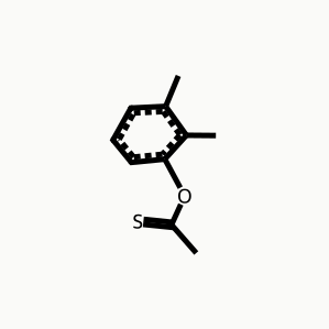 CC(=S)Oc1cccc(C)c1C